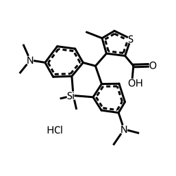 Cc1csc(C(=O)O)c1C1c2ccc(N(C)C)cc2[Si](C)(C)c2cc(N(C)C)ccc21.Cl